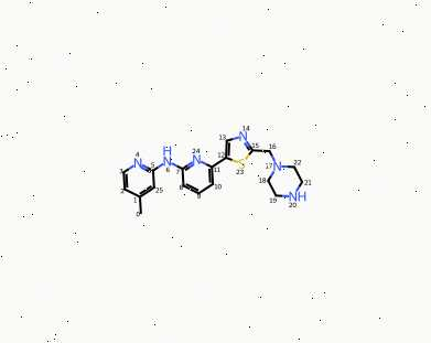 Cc1ccnc(Nc2cccc(-c3cnc(CN4CCNCC4)s3)n2)c1